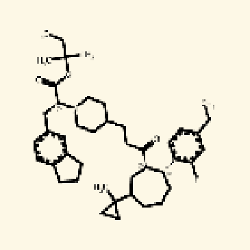 CCc1ccc([C@@H]2CCCC(C3(C)CC3)C[C@H]2C(=O)CCC2CCN([C@@H](Cc3ccc4c(c3)CCC4)C(=O)OC(C)(C)CC)CC2)c(F)c1